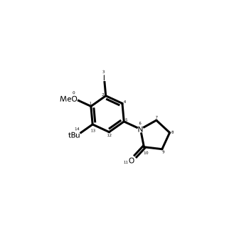 COc1c(I)cc(N2CCCC2=O)cc1C(C)(C)C